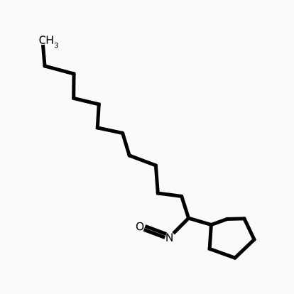 CCCCCCCCCCCC(N=O)C1CCCCC1